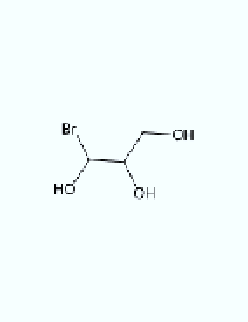 OCC(O)C(O)Br